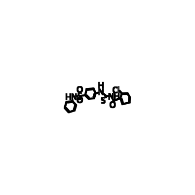 O=C(NC(=S)Nc1ccc(S(=O)(=O)Nc2ccccc2)cc1)c1ccccc1Cl